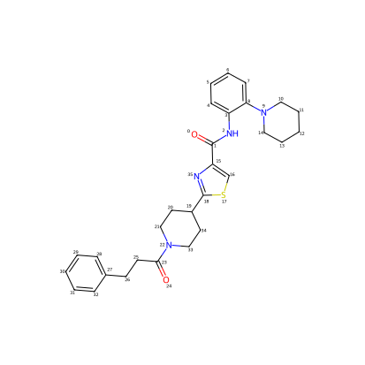 O=C(Nc1ccccc1N1CCCCC1)c1csc(C2CCN(C(=O)CCc3ccccc3)CC2)n1